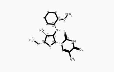 CC[C@H]1O[C@@H](n2cc(C)c(=O)[nH]c2=O)C(O[C@@H]2CCCC[C@H]2OC)[C@H]1O